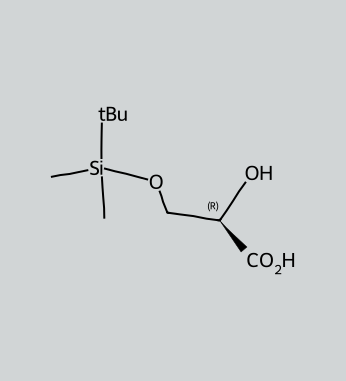 CC(C)(C)[Si](C)(C)OC[C@@H](O)C(=O)O